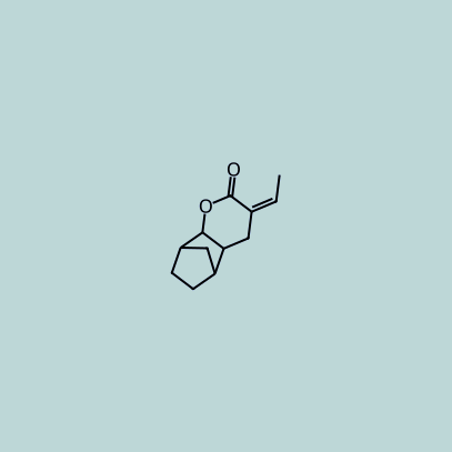 C/C=C1/CC2C3CCC(C3)C2OC1=O